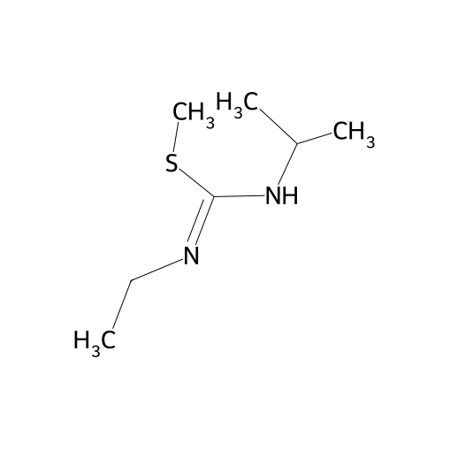 CCN=C(NC(C)C)SC